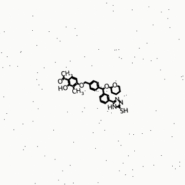 CC(=O)c1ccc(OCc2ccc(C(OC3CCCCO3)c3cccc(-c4nnc(S)[nH]4)c3)cc2)c(C)c1O